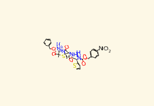 CC1(C)S[C@@H]2[C@H](NC(=O)C(NC(=O)OCc3ccc([N+](=O)[O-])cc3)c3cccs3)C(=O)N2[C@@]1(N)C(=O)OCc1ccccc1